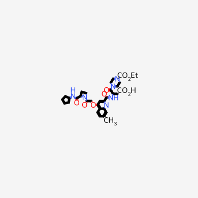 CCOC(=O)N1CCN(C(=O)C(CC(=O)O)NC(=O)c2cc(OCC(=O)N3CCC3C(=O)NC3CCCC3)c3ccc(C)cc3n2)CC1